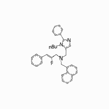 CCCCn1c(CN(CC(F)=Cc2ccccc2)Cc2cccc3ccccc23)cnc1-c1ccccc1